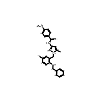 COc1ccc(C(=O)Nc2cc(C)n(Cc3cc(I)ccc3OCc3ccccc3)n2)cc1